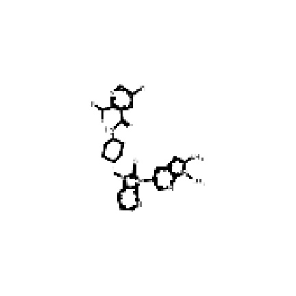 Cc1cc2cc(-n3c(=O)n(C[C@H]4CC[C@H](NC(=O)c5cc(Cl)cnc5C(F)F)CC4)c4cccnc43)cnc2n1C